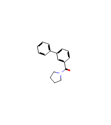 O=C(c1cccc(-c2ccccc2)c1)N1CCCC1